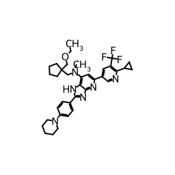 CCOCC1(CN(C)c2cc(-c3cnc(C4CC4)c(C(F)(F)F)c3)nc3nc(-c4ccc(N5CCCCC5)cc4)[nH]c23)CCCC1